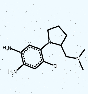 CN(C)CC1CCCN1c1cc(N)c(N)cc1Cl